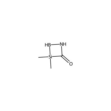 C[Si]1(C)BNC1=O